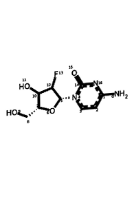 Nc1ccn([C@@H]2O[C@H](CO)C(O)C2F)c(=O)n1